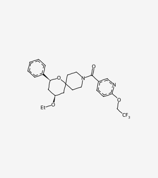 CCO[C@H]1C[C@@H](c2ccccc2)OC2(CCN(C(=O)c3ccc(OCC(F)(F)F)nc3)CC2)C1